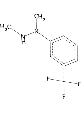 CNN(C)c1cccc(C(F)(F)F)c1